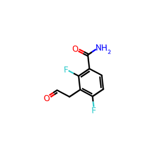 NC(=O)c1ccc(F)c(CC=O)c1F